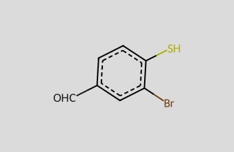 O=Cc1ccc(S)c(Br)c1